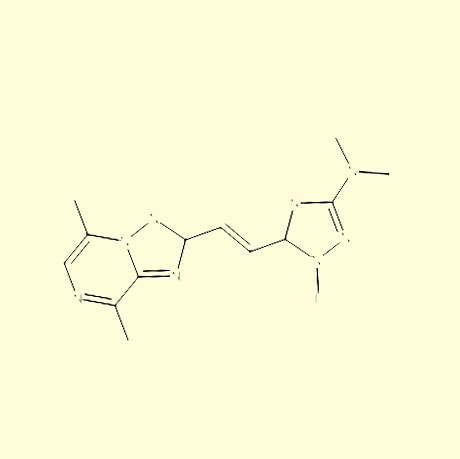 CCN1N=C(N(C)C)NC1/C=C/C1N=C2C(C)=NC=C(C)N2N1